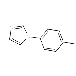 Ic1ccc(-n2ccnc2)cc1